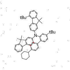 CC(C)(C)c1ccc(-c2ccc(C3CCCCC3)cc2)c(N(c2ccc3c(c2)C(C)(C)c2ccccc2-3)c2ccc3c(c2)C(C)(C)c2cccc(C(C)(C)C)c2-3)c1